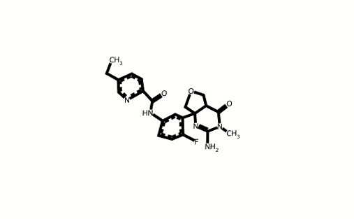 CCc1ccc(C(=O)Nc2ccc(F)c(C34COCC3C(=O)N(C)C(N)=N4)c2)nc1